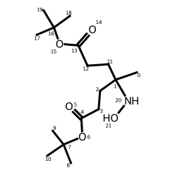 CC(CCC(=O)OC(C)(C)C)(CCC(=O)OC(C)(C)C)NO